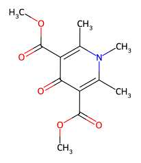 COC(=O)c1c(C)n(C)c(C)c(C(=O)OC)c1=O